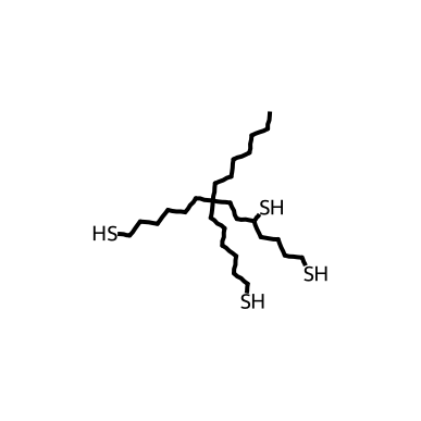 CCCCCCCC(CCCCCCS)(CCCCCCS)CCC(S)CCCCS